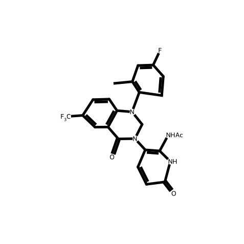 CC(=O)Nc1[nH]c(=O)ccc1N1CN(c2ccc(F)cc2C)c2ccc(C(F)(F)F)cc2C1=O